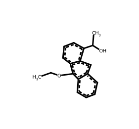 CCOc1c2ccccc2cc2c(C(C)O)cccc12